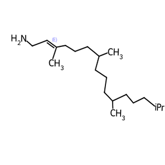 C/C(=C\CN)CCCC(C)CCCC(C)CCCC(C)C